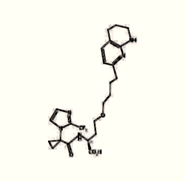 O=C(O)[C@H](CCOCCCCc1ccc2c(n1)NCCC2)NC(=O)C1(n2ccnc2C(F)(F)F)CC1